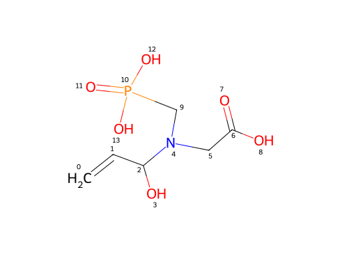 C=CC(O)N(CC(=O)O)CP(=O)(O)O